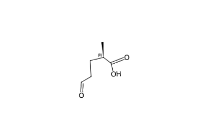 C[C@H](CCC=O)C(=O)O